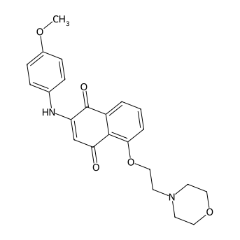 COc1ccc(NC2=CC(=O)c3c(OCCN4CCOCC4)cccc3C2=O)cc1